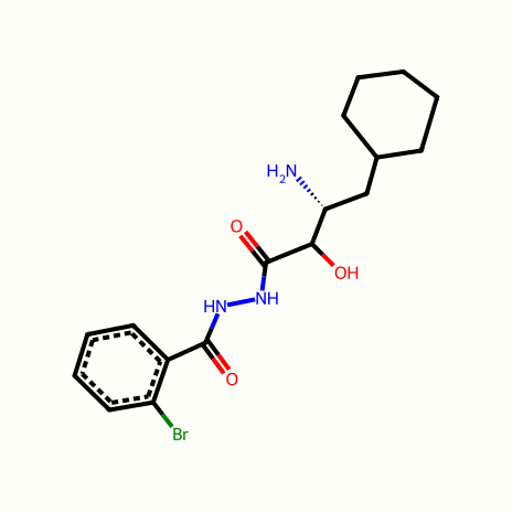 N[C@H](CC1CCCCC1)C(O)C(=O)NNC(=O)c1ccccc1Br